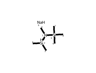 CN([SiH](C)C)[Si](C)(C)C.[NaH]